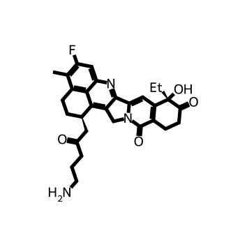 CC[C@@]1(O)C(=O)CCc2c1cc1n(c2=O)Cc2c-1nc1cc(F)c(C)c3c1c2[C@@H](CC(=O)CCCN)CC3